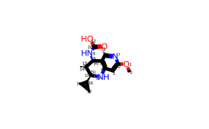 COc1cc2c(cn1)[C@H](NC(=O)O)[C@@H](C)[C@H](C1CC1)N2